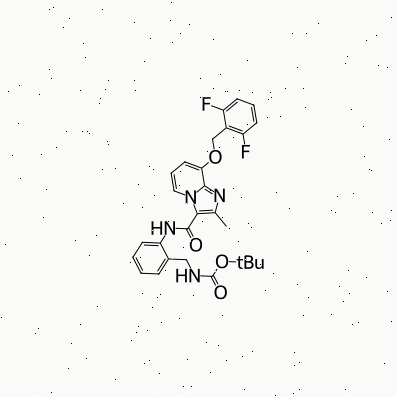 Cc1nc2c(OCc3c(F)cccc3F)cccn2c1C(=O)Nc1ccccc1CNC(=O)OC(C)(C)C